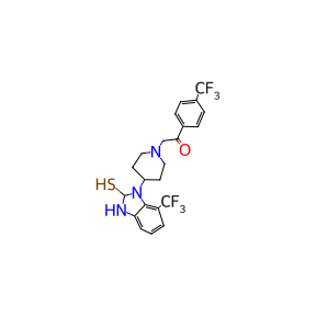 O=C(CN1CCC(N2c3c(cccc3C(F)(F)F)NC2S)CC1)c1ccc(C(F)(F)F)cc1